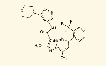 Cc1nc2c(C)cc(-c3ccccc3C(F)(F)F)nn2c1C(=O)Nc1cccc(N2CCOCC2)n1